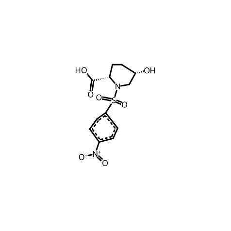 O=C(O)[C@@H]1CC[C@H](O)CN1S(=O)(=O)c1ccc([N+](=O)[O-])cc1